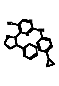 N#Cc1cnc(Nc2ccc(C3CC3)cc2)nc1N1OCCC1C1=CC=CCC1